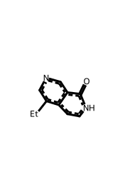 CCc1cncc2c(=O)[nH]ccc12